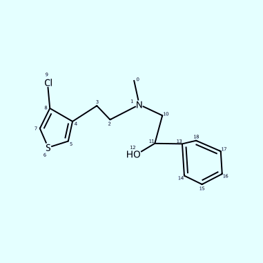 CN(CCc1cscc1Cl)CC(O)c1ccccc1